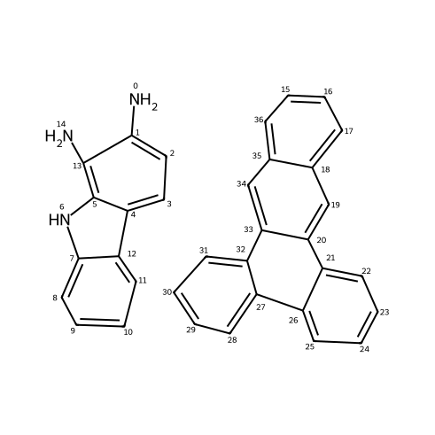 Nc1ccc2c([nH]c3ccccc32)c1N.c1ccc2cc3c4ccccc4c4ccccc4c3cc2c1